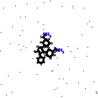 CC1=C(c2ccccc2)C(c2cccc(CN)c2)=C(c2cccc(CN)c2)C1